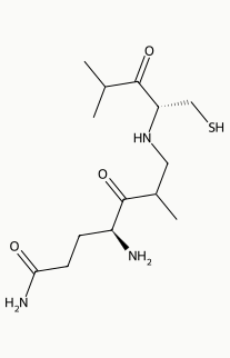 CC(C)C(=O)[C@H](CS)NCC(C)C(=O)[C@@H](N)CCC(N)=O